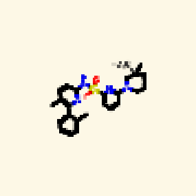 Cc1ccccc1-c1nc(NS(=O)(=O)c2cccc(N3CCC[C@@](C)(C(=O)O)C3)n2)ccc1C